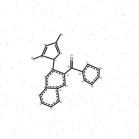 CC1=CC(c2cc3ccccc3cc2C(=O)c2ccccc2)C(C)=C1